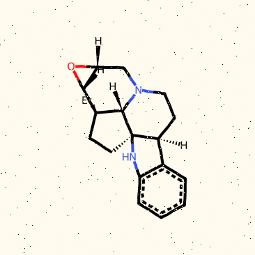 CC[C@@]12CC[C@@]34Nc5ccccc5[C@@H]3CCN(C[C@H]3O[C@H]31)[C@@H]24